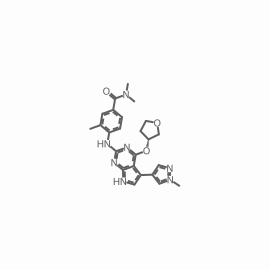 Cc1cc(C(=O)N(C)C)ccc1Nc1nc(O[C@H]2CCOC2)c2c(-c3cnn(C)c3)c[nH]c2n1